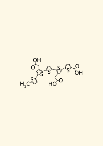 Cc1ccc(-c2cc(CC(=O)O)c(-c3ccc(-c4sc(-c5ccc(C(=O)O)s5)cc4CC(=O)O)s3)s2)s1